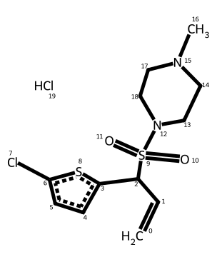 C=CC(c1ccc(Cl)s1)S(=O)(=O)N1CCN(C)CC1.Cl